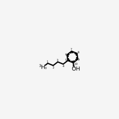 [3H]CCCCc1ccccc1O